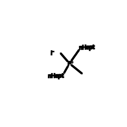 CCCCCCC[P+](C)(C)CCCCCCC.[I-]